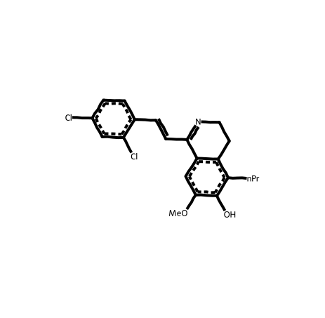 CCCc1c(O)c(OC)cc2c1CCN=C2/C=C/c1ccc(Cl)cc1Cl